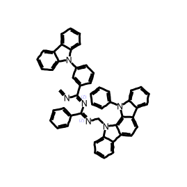 C=N/C(=N\C(=N/Cn1c2ccccc2c2ccc3c4ccccc4n(-c4ccccc4)c3c21)c1ccccc1)c1cccc(-n2c3ccccc3c3ccccc32)c1